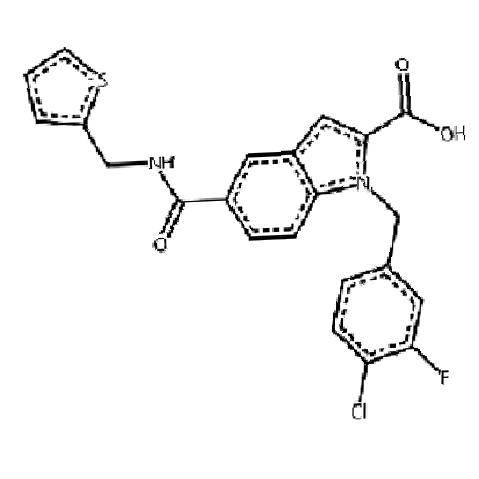 O=C(NCc1cccs1)c1ccc2c(c1)cc(C(=O)O)n2Cc1ccc(Cl)c(F)c1